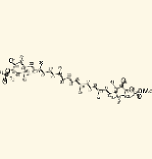 COP(C)(=O)OC1CC(C)(C)C(/C=C/C(C)=C/C=C/C(C)=C/C=C/C=C(C)/C=C/C=C(C)/C=C/C2=C(C)C(=O)C(OP(C)(C)=O)CC2(C)C)=C(C)C1=O